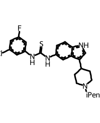 CCCC(C)N1CCC(c2c[nH]c3ccc(NC(=S)Nc4cc(F)cc(Cl)c4)cc23)CC1